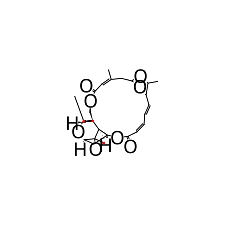 CC1=C[C@H]2O[C@@H]3C[C@H]4OC(=O)/C=C\C=C\C5OC(C/C(C)=C\C(=O)OC[C@@]2(CC1)[C@]4(C)C31CO1)OC5C